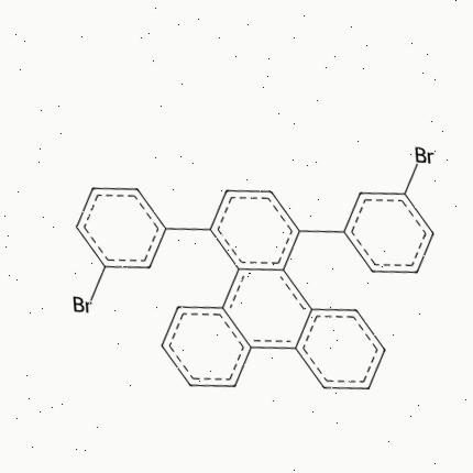 Brc1cccc(-c2ccc(-c3cccc(Br)c3)c3c4ccccc4c4ccccc4c23)c1